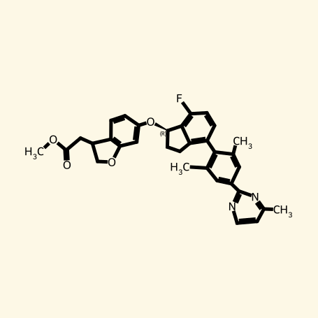 COC(=O)CC1COc2cc(O[C@@H]3CCc4c(-c5c(C)cc(-c6nccc(C)n6)cc5C)ccc(F)c43)ccc21